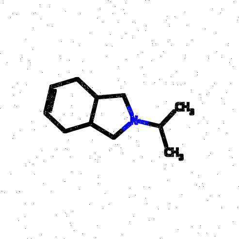 CC(C)N1CC2CC=CCC2C1